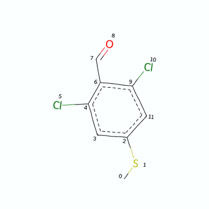 CSc1cc(Cl)c(C=O)c(Cl)c1